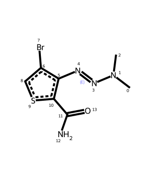 CN(C)/N=N/c1c(Br)csc1C(N)=O